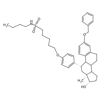 CCCCNS(=O)(=O)CCCCCOc1ccc([C@H]2C[C@@]3(C)C(CC[C@@H]3O)C3CCc4cc(OCc5ccccc5)ccc4C32)cc1